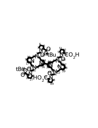 CC(C)(C)OC(=O)C1CCCN1C(=O)CN1Cc2cccc(n2)CN(CC(=O)N2CCCC2C(=O)OC(C)(C)C)Cc2cc(-c3cc4nc(c3)CN(CC(=O)N3CCCC3C(=O)O)Cc3cccc(n3)CN(CC(=O)N3CCCC3C(=O)O)C4)cc(n2)C1